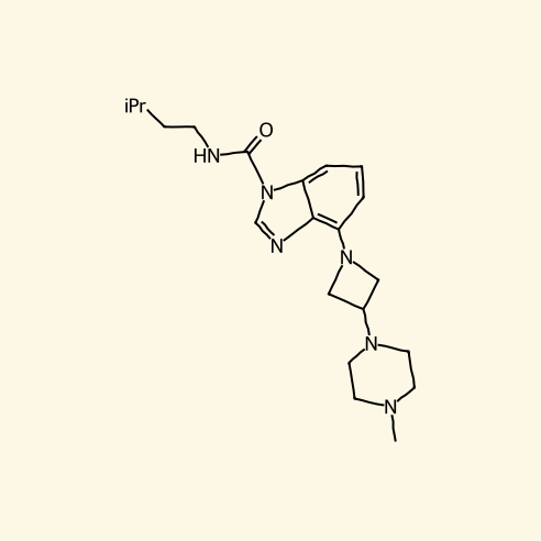 CC(C)CCNC(=O)n1cnc2c(N3CC(N4CCN(C)CC4)C3)cccc21